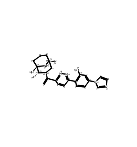 C=C(c1ccc(-c2ccc(-n3ccnc3)cc2O)nn1)[C@@H]1C[C@H]2CCC[C@H](N2)[C@H]1F